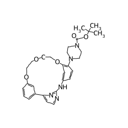 CC(C)(C)OC(=O)N1CCN(c2ccc3cc2OCCOCCOc2cccc(c2)-c2ccnc(n2)N3)CC1